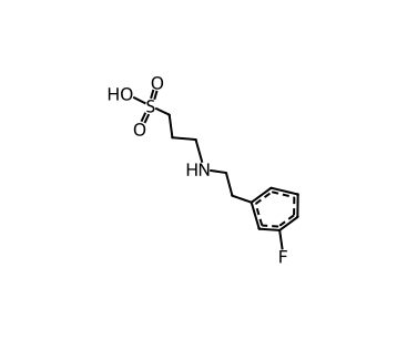 O=S(=O)(O)CCCNCCc1cccc(F)c1